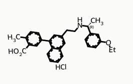 CCOc1cccc([C@@H](C)NCCc2cc(-c3ccc(C)c(C(=O)O)c3)c3ccccc3c2)c1.Cl